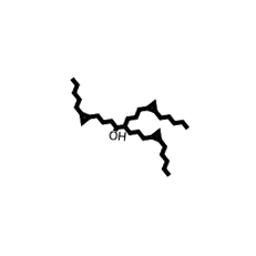 CCCCCC1CC1CCCC(O)C(CCCC1CC1CCCCC)CCCC1CC1CCCCC